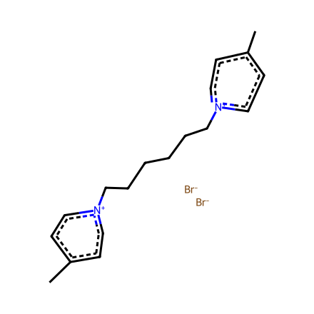 Cc1cc[n+](CCCCCC[n+]2ccc(C)cc2)cc1.[Br-].[Br-]